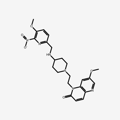 COc1cnc2ccc(=O)n(CCN3CCC(NCc4ccc(OC)c([N+](=O)[O-])n4)CC3)c2c1